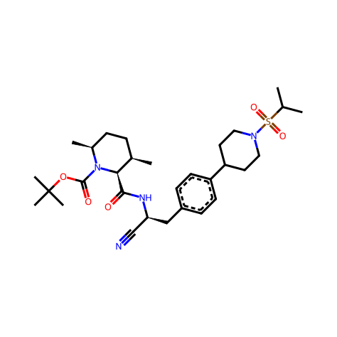 CC(C)S(=O)(=O)N1CCC(c2ccc(C[C@@H](C#N)NC(=O)[C@@H]3[C@H](C)CC[C@H](C)N3C(=O)OC(C)(C)C)cc2)CC1